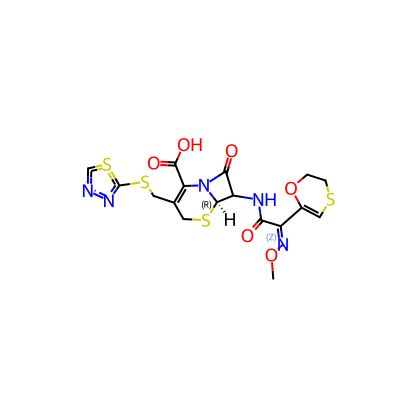 CO/N=C(\C(=O)NC1C(=O)N2C(C(=O)O)=C(CSc3nncs3)CS[C@H]12)C1=CSCCO1